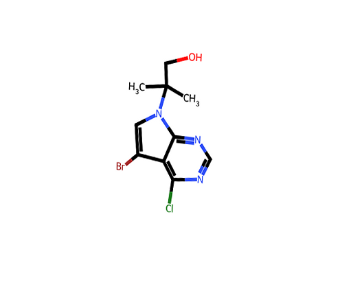 CC(C)(CO)n1cc(Br)c2c(Cl)ncnc21